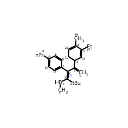 C=C(/C(=C(/BC)C(C)(C)C)c1ccc(CCC)cc1)C1C=C(CC)C(C)=CC1